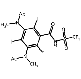 CC(=O)N(C)c1c(I)c(C(=O)NS(=O)(=O)C(F)(F)F)c(I)c(N(C)C(C)=O)c1I